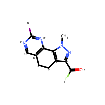 Cn1nc(C(=O)F)c2c1-c1nc(I)ncc1CC2